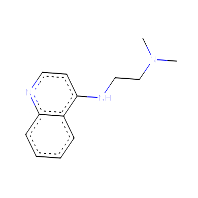 CN(C)CCNc1ccnc2ccccc12